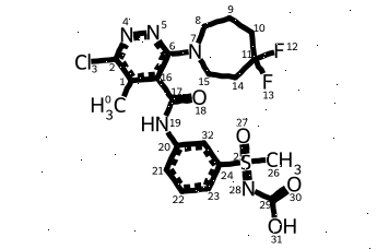 Cc1c(Cl)nnc(N2CCCC(F)(F)CC2)c1C(=O)Nc1cccc(S(C)(=O)=NC(=O)O)c1